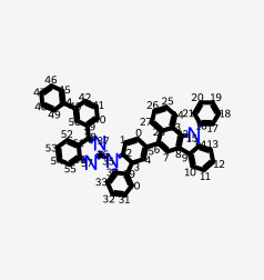 C1=CC2C(C=C1c1cc3c4ccccc4n(-c4ccccc4)c3c3ccccc13)c1ccccc1N2c1nc(-c2cccc(-c3ccccc3)c2)c2ccccc2n1